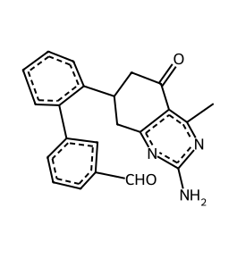 Cc1nc(N)nc2c1C(=O)CC(c1ccccc1-c1cccc(C=O)c1)C2